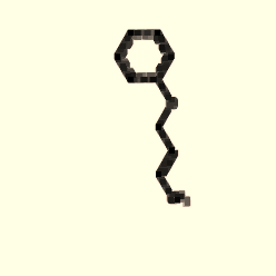 CC=CCOc1ccccc1